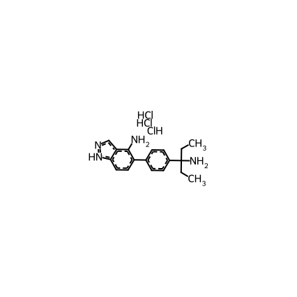 CCC(N)(CC)c1ccc(-c2ccc3[nH]ncc3c2N)cc1.Cl.Cl.Cl